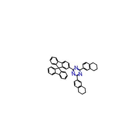 c1ccc2c(c1)-c1ccccc1C21c2ccccc2-c2ccc(-c3nc(-c4ccc5c(c4)CCCC5)nc(-c4ccc5c(c4)CCCC5)n3)cc21